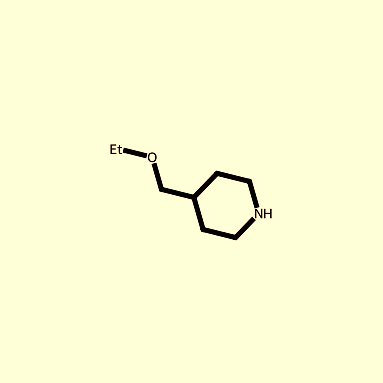 [CH2]COCC1CCNCC1